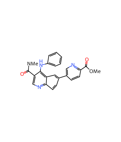 CNC(=O)c1cnc2ccc(-c3ccc(C(=O)OC)nc3)cc2c1Nc1ccccc1